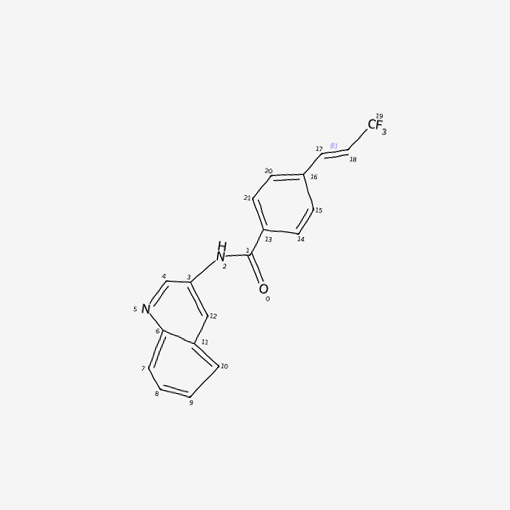 O=C(Nc1cnc2ccccc2c1)c1ccc(/C=C/C(F)(F)F)cc1